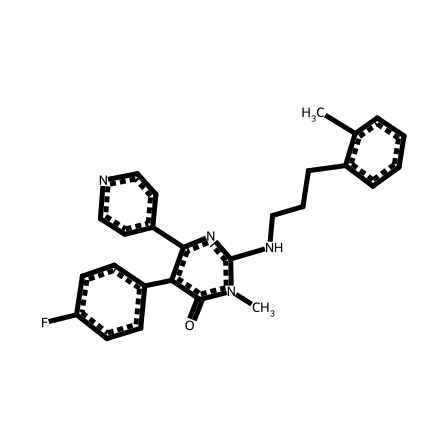 Cc1ccccc1CCCNc1nc(-c2ccncc2)c(-c2ccc(F)cc2)c(=O)n1C